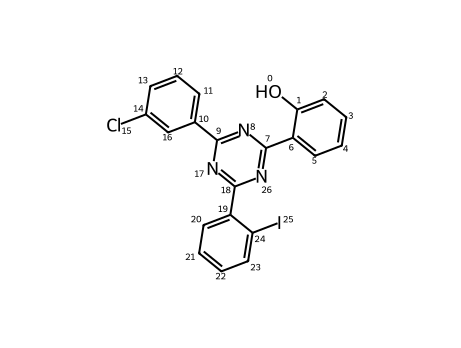 Oc1ccccc1-c1nc(-c2cccc(Cl)c2)nc(-c2ccccc2I)n1